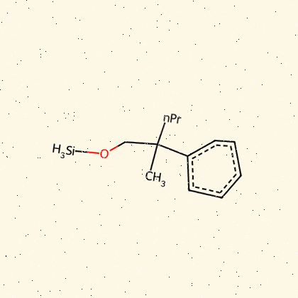 CCCC(C)(CO[SiH3])c1ccccc1